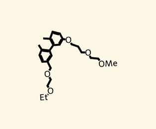 CCOCCOCc1ccc(C)c(-c2cc(OCCCOCCOC)ccc2C)c1